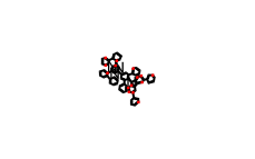 c1ccc(-c2ccc3c(c2)c2cc(-c4ccccc4)ccc2n3-c2c(-c3ccccc3)cc(-c3nc(-c4ccccc4-c4ccccc4)nc(-c4ccccc4-c4ccccc4)n3)cc2-c2ccccc2)cc1